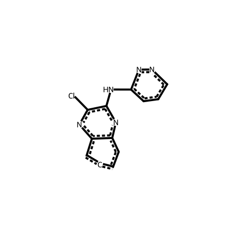 Clc1nc2ccccc2nc1Nc1cccnn1